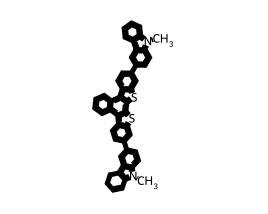 Cn1c2c(c3cc(-c4ccc5c(c4)sc4c6sc7cc(-c8ccc9c(c8)c8ccccc8n9C)ccc7c6c6ccccc6c54)ccc31)CCC=C2